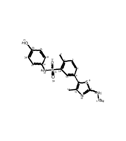 Cc1ccc(-c2sc(NC(C)(C)C)nc2C)cc1S(=O)(=O)Nc1ccc(O)cc1